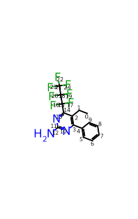 CCc1c(-c2ccccc2)nc(N)nc1C(F)(F)C(F)(F)C(F)(F)F